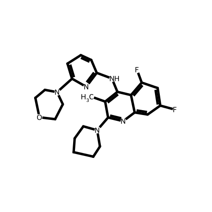 Cc1c(N2CCCCC2)nc2cc(F)cc(F)c2c1Nc1cccc(N2CCOCC2)n1